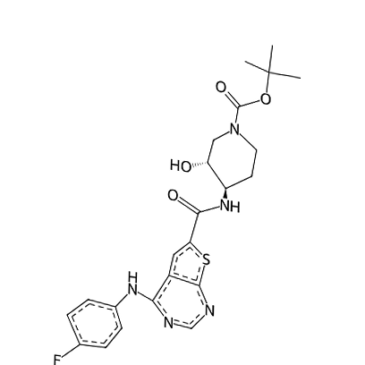 CC(C)(C)OC(=O)N1CC[C@@H](NC(=O)c2cc3c(Nc4ccc(F)cc4)ncnc3s2)[C@H](O)C1